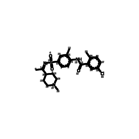 C/C(=N/S(=O)(=O)c1ccc(NC(=O)c2cc(Cl)ccc2C)c(C)c1)C1CCN(C)CC1